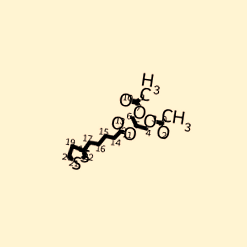 CC(=O)OCC(COC(C)=O)OC(=O)CCCCC1CCSS1